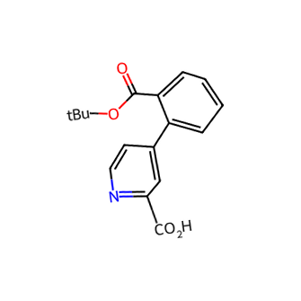 CC(C)(C)OC(=O)c1ccccc1-c1ccnc(C(=O)O)c1